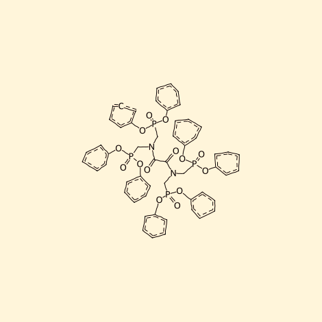 O=C(C(=O)N(CP(=O)(Oc1ccccc1)Oc1ccccc1)CP(=O)(Oc1ccccc1)Oc1ccccc1)N(CP(=O)(Oc1ccccc1)Oc1ccccc1)CP(=O)(Oc1ccccc1)Oc1ccccc1